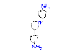 Nc1ccc(CN2CCCC(c3ccc(N)cc3)C2)cc1